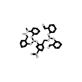 COc1ccccc1OP(Oc1ccccc1CO)Oc1cc([N+](=O)[O-])ccc1COP(Oc1ccccc1C=O)Oc1ccccc1C=O